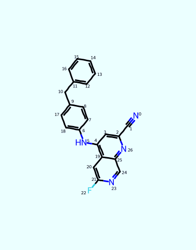 N#Cc1cc(Nc2ccc(Cc3ccccc3)cc2)c2cc(F)ncc2n1